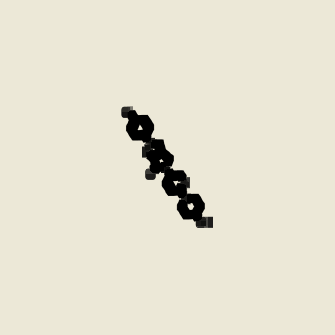 O=C1c2nn(-c3ccc(Cl)cc3)cc2CN1c1ccc(N2CCC(O)CC2)nc1